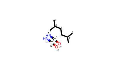 CC(C)CCC(C)C.N=C=O.N=C=O